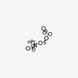 CCC/C(=N\OC(=O)c1ccccc1)c1ccc(Sc2ccc(C(=O)c3cc4ccccc4o3)cc2)cc1